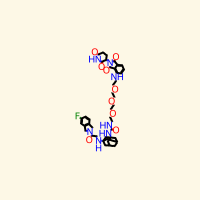 O=C1CCC(N2C(=O)c3cccc(NCCOCCOCCOCCNC(=O)NC45CC6CC(CC(NCC(=O)N7Cc8ccc(F)cc8C7)(C6)C4)C5)c3C2=O)C(=O)N1